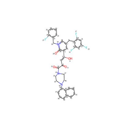 O=C(C=C(O)c1cc(Cc2c(F)cc(F)cc2F)cn(Cc2ccccc2F)c1=O)C(=O)N1CCN(c2cccc3ccccc23)CC1